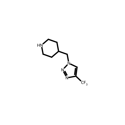 FC(F)(F)c1cn(CC2CCNCC2)nn1